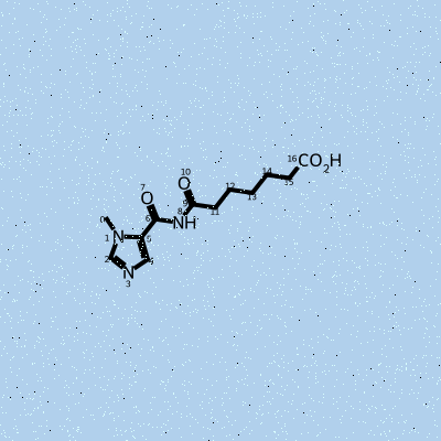 Cn1cncc1C(=O)NC(=O)CCCCCC(=O)O